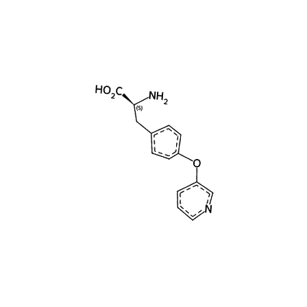 N[C@@H](Cc1ccc(Oc2cccnc2)cc1)C(=O)O